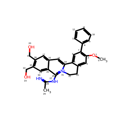 COc1cc2c(cc1-c1ccccc1)-c1cc3cc(CO)c(CO)cc3c(NC(C)=N)[n+]1CC2